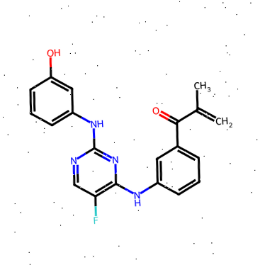 C=C(C)C(=O)c1cccc(Nc2nc(Nc3cccc(O)c3)ncc2F)c1